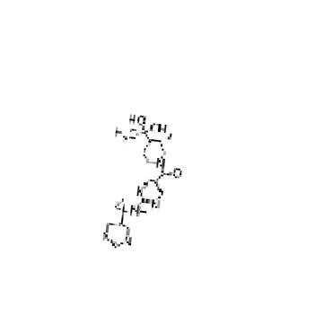 CC(C)(O)C1CCN(C(=O)c2cnc(NC3(c4cncnc4)CC3)nc2)CC1